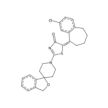 O=C1N=C(N2CCC3(CC2)OCc2ccccc23)S/C1=C1\CCCCc2ccc(Cl)cc21